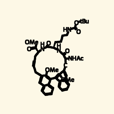 COC(=O)[C@@H]1CC=CCc2cc3ccccc3c(c2OC)-c2c(OC)c(cc3ccccc23)CC(NC(C)=O)C(=O)N[C@H](CCCCNC(=O)OC(C)(C)C)C(=O)N1